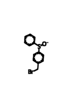 [O-][S+](c1ccccc1)c1ccc(CBr)cc1